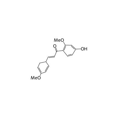 COC1=CCC(C=CC(=O)c2ccc(O)cc2OC)C=C1